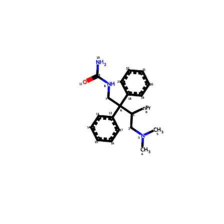 CCCC(CN(C)C)C(CNC(N)=O)(c1ccccc1)c1ccccc1